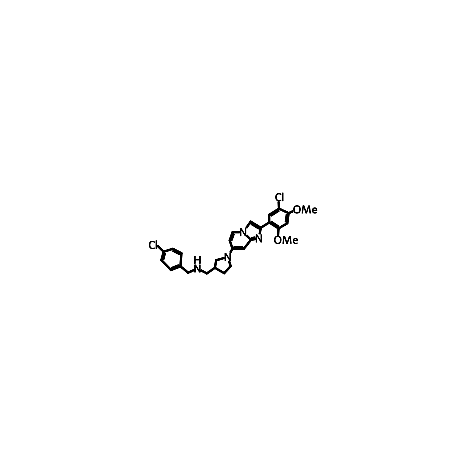 COc1cc(OC)c(-c2cn3ccc(N4CCC(CNCc5ccc(Cl)cc5)C4)cc3n2)cc1Cl